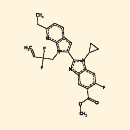 C=CC(F)(F)Cn1c(-c2nc3cc(C(=O)OC)c(F)cc3n2C2CC2)cc2ccc(CC)nc21